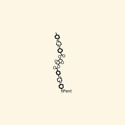 CCCCCc1ccc(N2CCN(c3ccc(C(=O)OC4COC5C(OC(=O)c6ccc(N7CCN(c8ccc(C)cc8)CC7)cc6)COC45)cc3)CC2)cc1